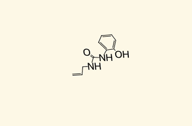 C=CCNC(=O)Nc1ccccc1O